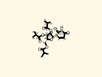 CC(C)C(=O)OC[C@H]1O[C@@H](n2ccc(=O)[nH]c2=O)[C@H](OC(=O)C(C)C)[C@@H]1OC(=O)C(C)C